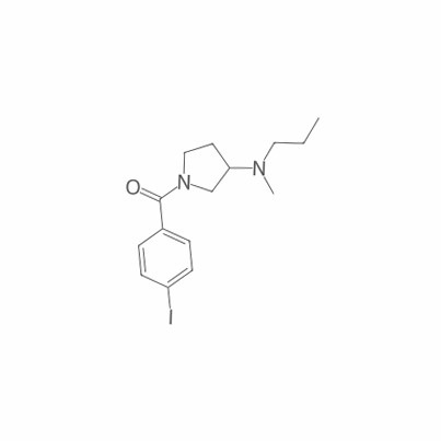 CCCN(C)C1CCN(C(=O)c2ccc(I)cc2)C1